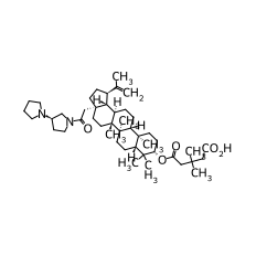 C=C(C)[C@@H]1CC[C@]2(CC(=O)N3CC[C@@H](N4CCCC4)C3)CC[C@]3(C)[C@H](CC[C@@H]4[C@@]5(C)CC[C@H](OC(=O)CC(C)(C)CC(=O)O)C(C)(C)[C@@H]5CC[C@]43C)[C@@H]12